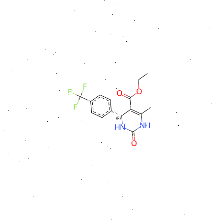 CCOC(=O)C1=C(C)NC(=O)N[C@@H]1c1ccc(C(F)(F)F)cc1